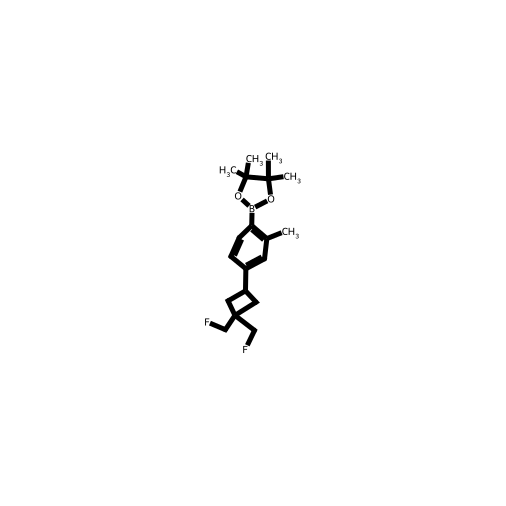 Cc1cc(C2CC(CF)(CF)C2)ccc1B1OC(C)(C)C(C)(C)O1